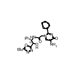 CC(C)[C@@H](NC(=O)Cn1cc(N)c(=O)nc1-c1ccccc1)C(O)c1nnc(C(C)(C)C)o1